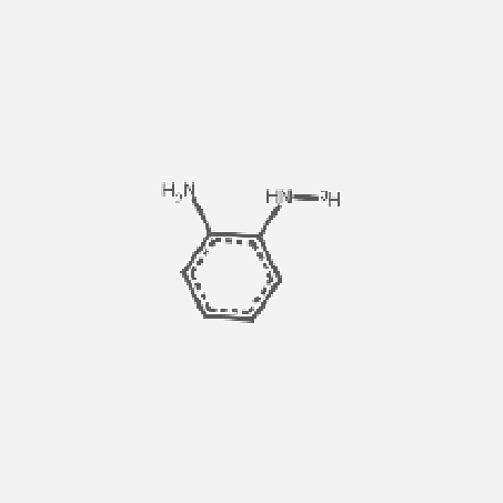 [3H]Nc1ccccc1N